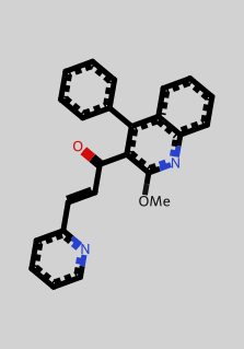 COc1nc2ccccc2c(-c2ccccc2)c1C(=O)/C=C/c1ccccn1